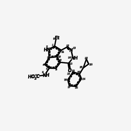 CCc1[nH]c2cc(NC(=O)O)cc3c2c1C=NNC3=O.c1ccc(C2CC2)cc1